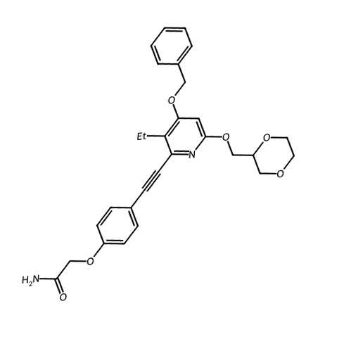 CCc1c(OCc2ccccc2)cc(OCC2COCCO2)nc1C#Cc1ccc(OCC(N)=O)cc1